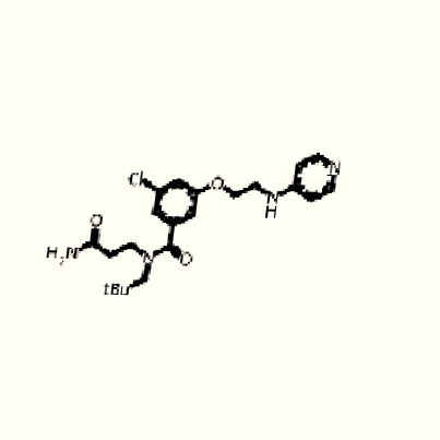 CC(C)(C)CN(CCC(N)=O)C(=O)c1cc(Cl)cc(OCCNc2ccncc2)c1